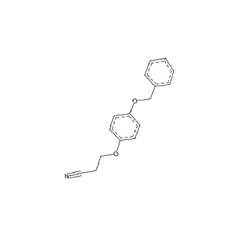 N#CCCOc1ccc(OCc2ccccc2)cc1